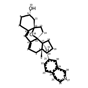 C[C@@]12CC=C3C=C4CC[C@H](O)C[C@]45CC[C@]3(O5)[C@H]1CC[C@@H]2c1ccc2ccncc2c1